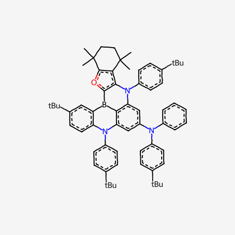 CC(C)(C)c1ccc(N(c2ccccc2)c2cc3c4c(c2)N(c2ccc(C(C)(C)C)cc2)c2c(oc5c2C(C)(C)CCC5(C)C)B4c2cc(C(C)(C)C)ccc2N3c2ccc(C(C)(C)C)cc2)cc1